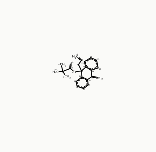 C=CCC1(OC(=O)C(C)(C)C)c2ccccc2C(=O)c2ccccc21